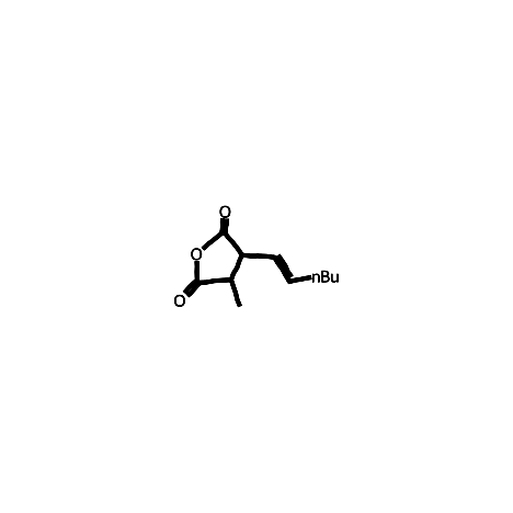 CCCCC=CC1C(=O)OC(=O)C1C